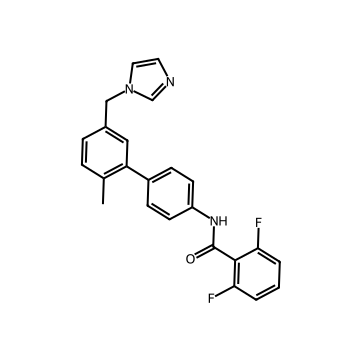 Cc1ccc(Cn2ccnc2)cc1-c1ccc(NC(=O)c2c(F)cccc2F)cc1